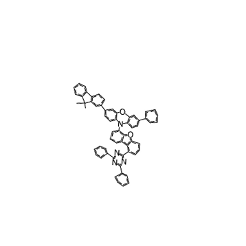 CC1(C)c2ccccc2-c2ccc(-c3ccc4c(c3)Oc3cc(-c5ccccc5)ccc3N4c3cccc4c3oc3cccc(-c5nc(-c6ccccc6)nc(-c6ccccc6)n5)c34)cc21